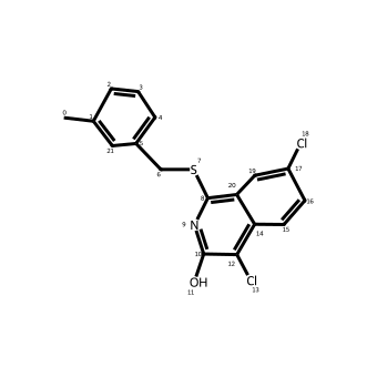 Cc1cccc(CSc2nc(O)c(Cl)c3ccc(Cl)cc23)c1